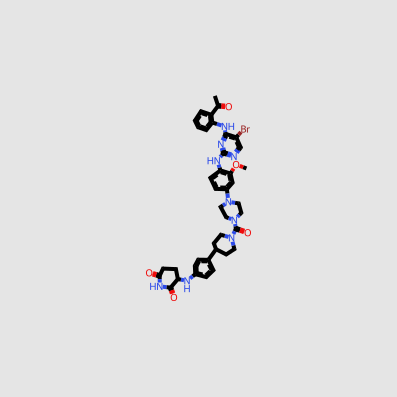 COc1cc(N2CCN(C(=O)N3CCC(c4ccc(NC5CCC(=O)NC5=O)cc4)CC3)CC2)ccc1Nc1ncc(Br)c(Nc2ccccc2C(C)=O)n1